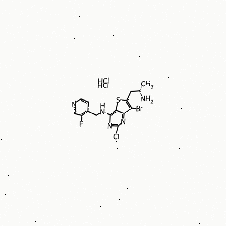 C[C@H](N)Cc1sc2c(NCc3ccncc3F)nc(Cl)nc2c1Br.Cl.Cl